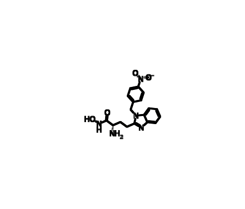 N[C@@H](CCc1nc2ccccc2n1Cc1ccc([N+](=O)[O-])cc1)C(=O)NO